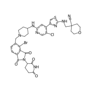 N#CC1(CNc2nc(-c3cc(NC4CCN(Cc5ccc6c(c5Br)C(=O)N(C5CCC(=O)NC5=O)C6=O)CC4)ncc3Cl)cs2)CCOCC1